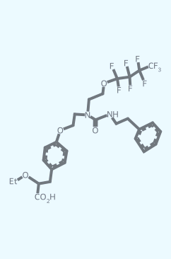 CCOC(Cc1ccc(OCCN(CCOC(F)(F)C(F)(F)C(F)(F)C(F)(F)F)C(=O)NCCc2ccccc2)cc1)C(=O)O